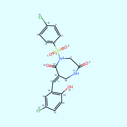 O=C1CN(S(=O)(=O)c2ccc(Cl)cc2)C(=O)/C(=C/c2cc(Cl)ccc2O)CN1